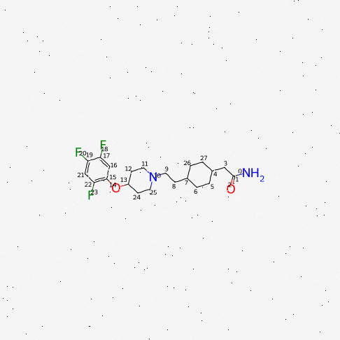 NC(=O)CC1CCC(CCN2CCC(Oc3cc(F)c(F)cc3F)CC2)CC1